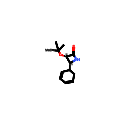 COC(C)(C)O[C@H]1C(=O)N[C@H]1C1C=CC=CC1